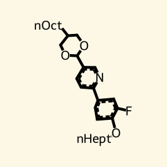 CCCCCCCCC1COC(c2ccc(-c3ccc(OCCCCCCC)c(F)c3)nc2)OC1